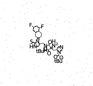 CC(C)(C)OC(=O)n1cncc1C[C@](N)(C(=O)NCc1c[nH]c(=S)n1[C@@H]1CCc2c(F)cc(F)cc2C1)C(=O)OC(C)(C)C